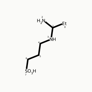 CCC(N)NCCCS(=O)(=O)O